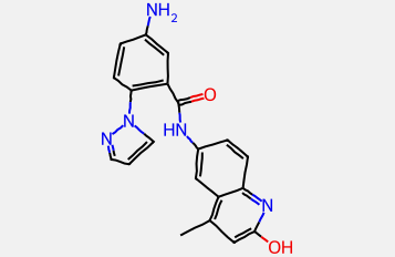 Cc1cc(O)nc2ccc(NC(=O)c3cc(N)ccc3-n3cccn3)cc12